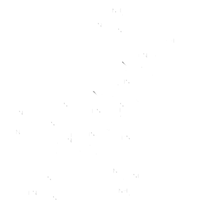 NC(N)=NCCC[C@H](NC(=O)[C@H](Cc1c[nH]c2ccccc12)NC(=O)[C@H](Cc1c[nH]c2ccccc12)NC(=O)[C@H](CCCN=C(N)N)NC(=O)[C@H](CCCN=C(N)N)NC(=O)[C@@H](N)Cc1cnc[nH]1)C(=O)N[C@@H](Cc1ccccc1)C(=O)O